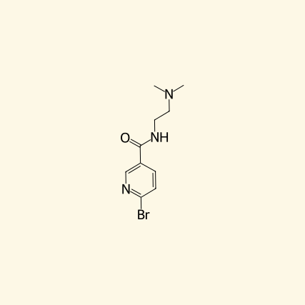 CN(C)CCNC(=O)c1ccc(Br)nc1